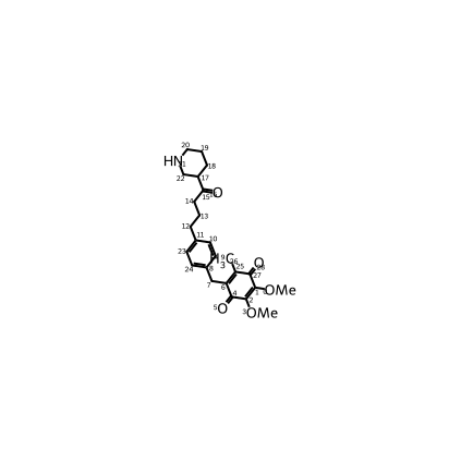 COC1=C(OC)C(=O)C(Cc2ccc(CCCC(=O)C3CCCNC3)cc2)=C(C)C1=O